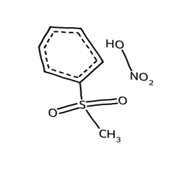 CS(=O)(=O)c1ccccc1.O=[N+]([O-])O